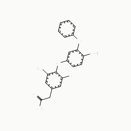 O=C(O)Cc1cc(Br)c(Oc2ccc(O)c(Oc3ccccc3)c2)c(Br)c1